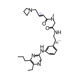 CCCc1nc(Nc2cccc([C@@H](C)CNC(=O)CN(C)C(=O)/C=C/CN3CCC3)c2)cnc1CC